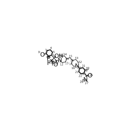 COc1cccc([C@@](O)(C(=O)N2CCC(CC3CCN(c4ccc(C(=O)N(C)C)c(C)c4)CC3)CC2)C(F)(F)F)c1